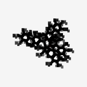 Bc1cc2c(c(B)c1B)Oc1c(B)c(B)c(N(c3c(B)c(B)c(-c4c(B)c(B)c(B)c(B)c4B)c(B)c3B)c3c(B)c(B)c(-c4c(B)c(B)c(B)c(B)c4B)c(B)c3C)c(B)c1C21c2cc(B)c(B)c(B)c2-c2c(B)c(B)c(C)c(B)c21